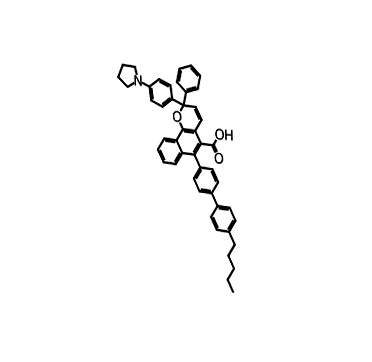 CCCCCc1ccc(-c2ccc(-c3c(C(=O)O)c4c(c5ccccc35)OC(c3ccccc3)(c3ccc(N5CCCC5)cc3)C=C4)cc2)cc1